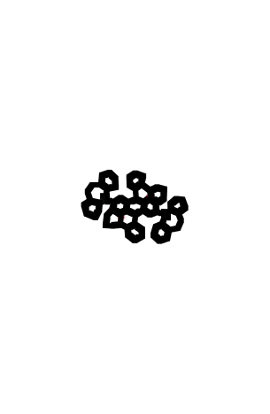 C1=CCCC(c2ccccc2-c2c3cc(N4c5ccccc5CCc5ccccc54)ccc3c(-c3ccccc3-c3ccccc3)c3cc(N4c5ccccc5CCc5ccccc54)ccc23)=C1